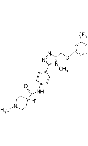 CN1CCC(F)(C(=O)Nc2ccc(-c3nnc(COc4cccc(C(F)(F)F)c4)n3C)cc2)CC1